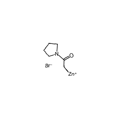 O=C([CH2][Zn+])N1CCCC1.[Br-]